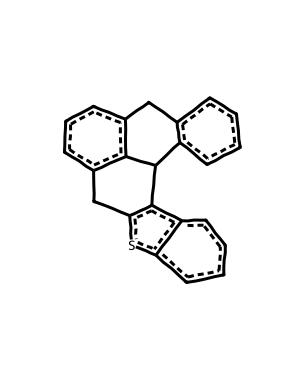 c1ccc2c(c1)Cc1cccc3c1C2c1c(sc2ccccc12)C3